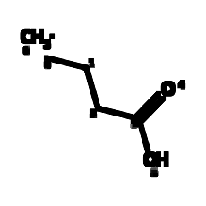 CCCC(=O)O.[CH3]